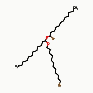 CCCCCCCCCCCC(Br)OC(CCCCCCCCCCC)OCCCCCCCCCCCCBr